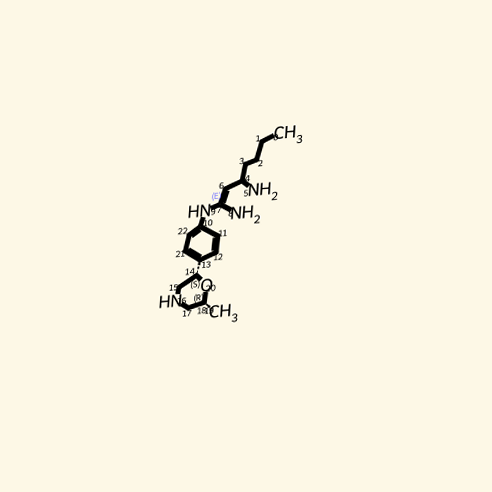 CCCCC(N)/C=C(\N)Nc1ccc([C@H]2CNC[C@@H](C)O2)cc1